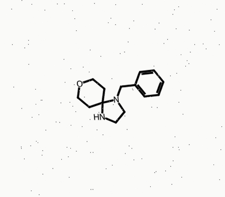 c1ccc(CN2CCNC23CCOCC3)cc1